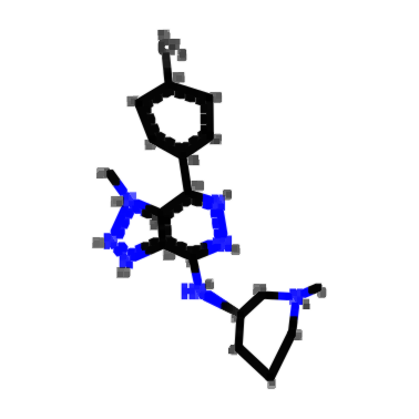 CN1CCC[C@@H](Nc2nnc(-c3ccc(C(F)(F)F)cc3)c3c2nnn3C)C1